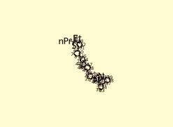 CCCC1Sc2c(-c3cccc(C4=CC5=C(CC4)c4ccc(-c6cccc(C7C=Nc8c(c9ccccc9c9ccccc89)N7C)c6)cc4C5(C)C)c3)cccc2C1CC